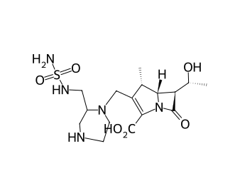 C[C@@H](O)[C@H]1C(=O)N2C(C(=O)O)=C(CN3CCNCC3CNS(N)(=O)=O)[C@H](C)[C@H]12